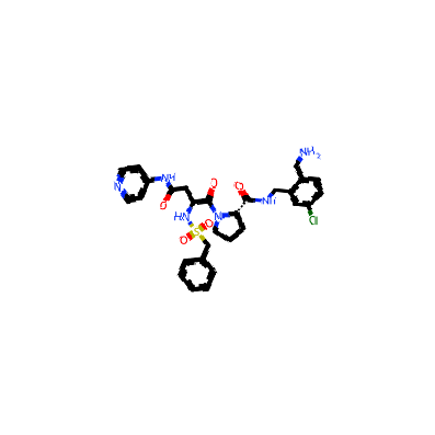 NCc1ccc(Cl)cc1CNC(=O)[C@@H]1CCCN1C(=O)C(CC(=O)Nc1ccncc1)NS(=O)(=O)Cc1ccccc1